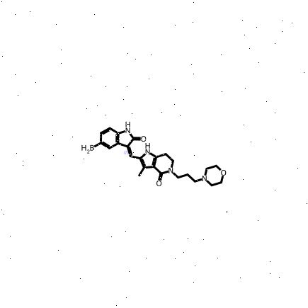 Bc1ccc2c(c1)/C(=C/c1[nH]c3c(c1C)C(=O)N(CCCN1CCOCC1)CC3)C(=O)N2